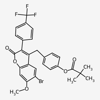 COc1cc2oc(=O)c(-c3ccc(C(F)(F)F)cc3)c(Cc3ccc(OC(=O)C(C)(C)C)cc3)c2cc1Br